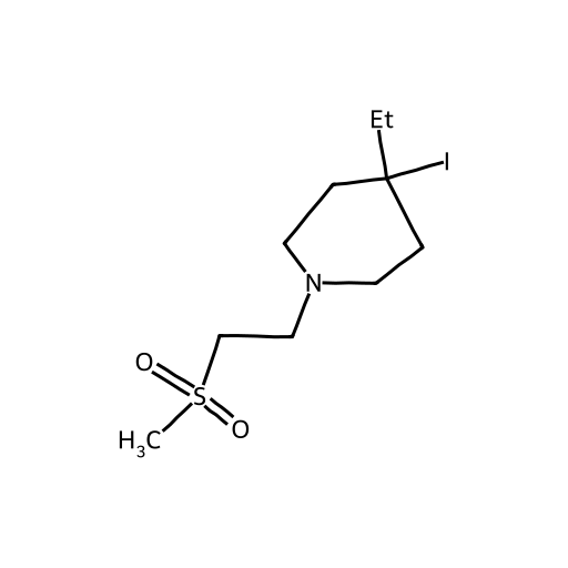 CCC1(I)CCN(CCS(C)(=O)=O)CC1